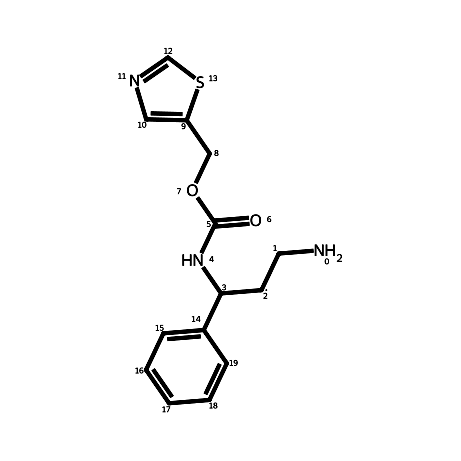 NC[CH]C(NC(=O)OCc1cncs1)c1ccccc1